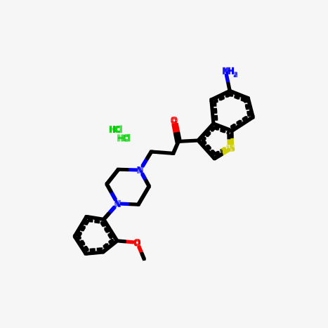 COc1ccccc1N1CCN(CCC(=O)c2csc3ccc(N)cc23)CC1.Cl.Cl